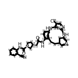 N#Cc1ccccc1NC(=O)N1CC[C@@H](CC(=O)Nc2ccc3cc2CCC2C=NC=C(C2)Nc2ncc(Cl)c(n2)N3)C1